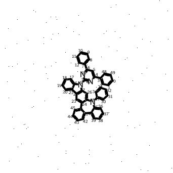 c1ccc(-c2cc(-c3ccccc3)nc(-n3c4ccccc4c4cc5c(cc43)N(c3ccccc3)c3ccccc3-c3ccccc3-5)n2)cc1